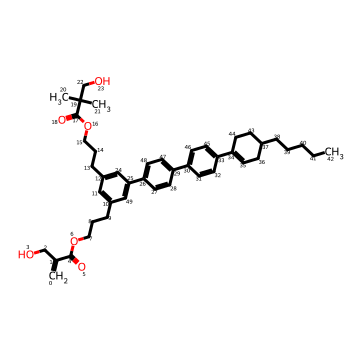 C=C(CO)C(=O)OCCCc1cc(CCCOC(=O)C(C)(C)CO)cc(-c2ccc(-c3ccc(C4=CCC(CCCCC)CC4)cc3)cc2)c1